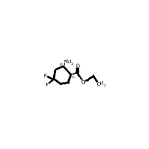 CCOC(=O)[C@H]1CCC(F)(F)C[C@@H]1N